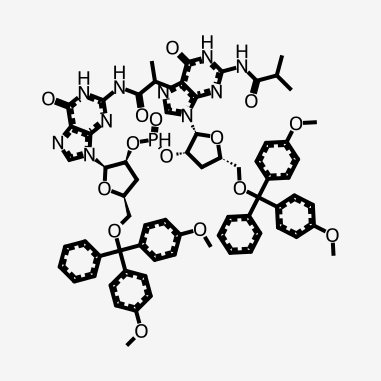 COc1ccc(C(OC[C@@H]2C[C@H](O[PH](=O)O[C@H]3C[C@@H](COC(c4ccccc4)(c4ccc(OC)cc4)c4ccc(OC)cc4)O[C@H]3n3cnc4c(=O)[nH]c(NC(=O)C(C)C)nc43)[C@H](n3cnc4c(=O)[nH]c(NC(=O)C(C)C)nc43)O2)(c2ccccc2)c2ccc(OC)cc2)cc1